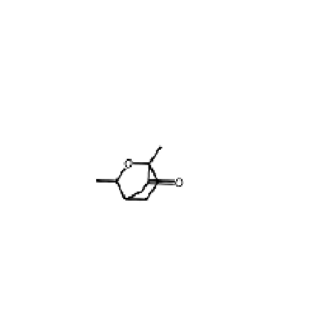 CC1OC2(C)CCC1CC2=O